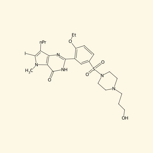 CCCc1c(I)n(C)c2c(=O)[nH]c(-c3cc(S(=O)(=O)N4CCN(CCCO)CC4)ccc3OCC)nc12